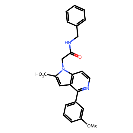 COc1cccc(-c2nccc3c2cc(C(=O)O)n3CC(=O)NCc2ccccc2)c1